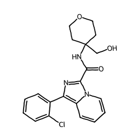 O=C(NC1(CO)CCOCC1)c1nc(-c2ccccc2Cl)c2ccccn12